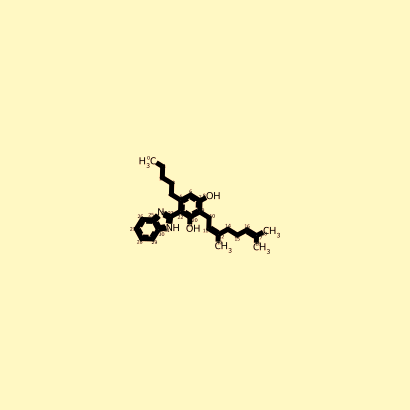 CCCCCc1cc(O)c(CC=C(C)CCC=C(C)C)c(O)c1-c1nc2ccccc2[nH]1